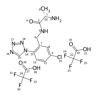 C[C@H](N)C(=O)NCc1cc(Cl)ccc1-n1cnnn1.O=C(O)C(F)(F)F.O=C(O)C(F)(F)F